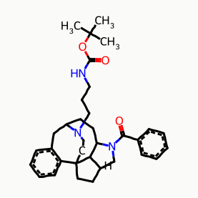 CC(C)(C)OC(=O)NCCCN1CCC23CC[C@@H]4CN(C(=O)c5ccccc5)C(CCC1Cc1ccccc12)C43